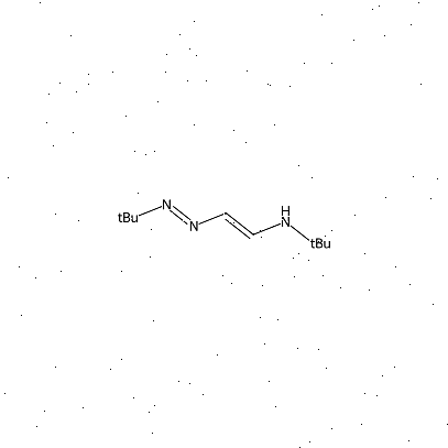 CC(C)(C)N=NC=CNC(C)(C)C